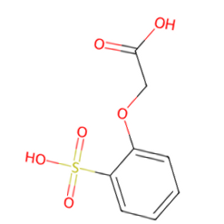 O=C(O)COc1ccccc1S(=O)(=O)O